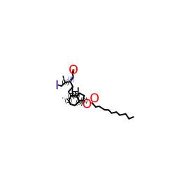 CCCCCCCCCCC(=O)O[C@H]1CC[C@H]2[C@H](CC/C(=C/C=O)[C@H](C)CI)[C@@H](C)CC[C@]12C